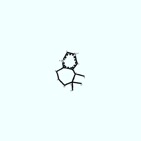 CC1c2cncnc2CCCC1(C)C